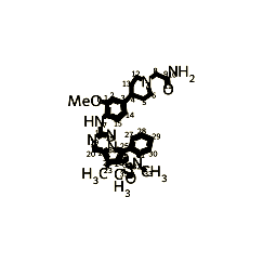 COc1cc(C2CCN(CC(N)=O)CC2)ccc1Nc1ncc2c(C)cc(-c3ccccc3N(C)S(C)(=O)=O)n2n1